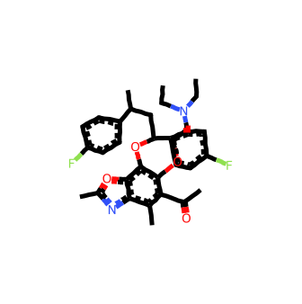 CCN(CC)CCOc1c(C(C)=O)c(C)c2nc(C)oc2c1OC(CC(C)c1ccc(F)cc1)c1ccc(F)cc1